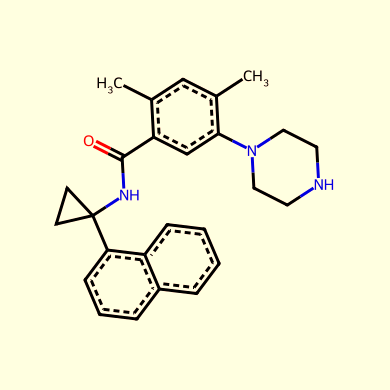 Cc1cc(C)c(N2CCNCC2)cc1C(=O)NC1(c2cccc3ccccc23)CC1